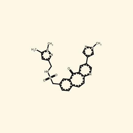 Cc1cc(CNS(=O)(=O)Cc2ccc3ccc4ncc(-c5cnn(C)c5)cc4c(=O)c3c2)nn1C